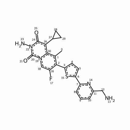 Cc1c(-c2ccc(-c3cccc(CN)n3)s2)c(F)cn2c(=O)n(N)c(=O)c(C3CC3)c12